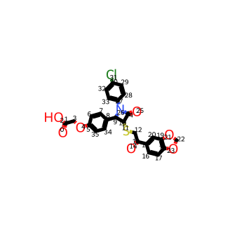 O=C(O)COc1ccc(C2C(SCC(=O)c3ccc4c(c3)OCO4)C(=O)N2c2ccc(Cl)cc2)cc1